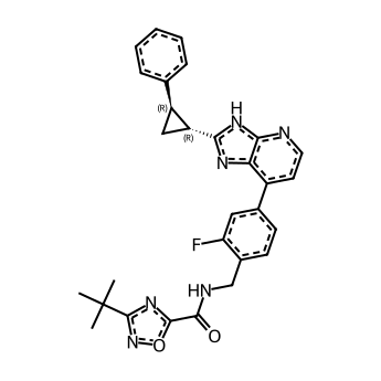 CC(C)(C)c1noc(C(=O)NCc2ccc(-c3ccnc4[nH]c([C@@H]5C[C@H]5c5ccccc5)nc34)cc2F)n1